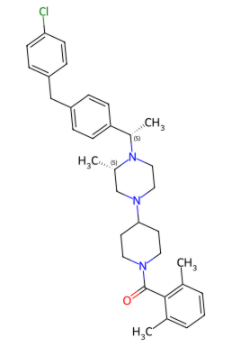 Cc1cccc(C)c1C(=O)N1CCC(N2CCN([C@@H](C)c3ccc(Cc4ccc(Cl)cc4)cc3)[C@@H](C)C2)CC1